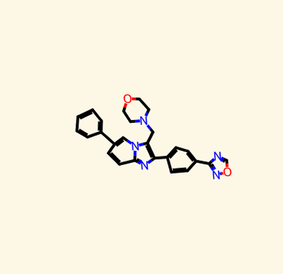 c1ccc(-c2ccc3nc(-c4ccc(-c5ncon5)cc4)c(CN4CCOCC4)n3c2)cc1